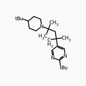 CC(C)(C)c1ncc(C(C)(C)CC(C)(C)N2CCC(C(C)(C)C)CC2)cn1